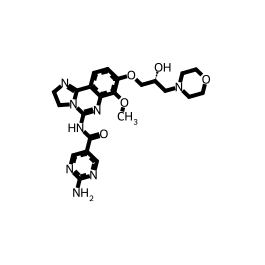 COc1c(OC[C@H](O)CN2CCOCC2)ccc2c1N=C(NC(=O)c1cnc(N)nc1)N1CCN=C21